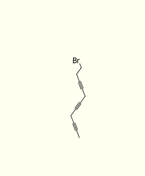 CC#CCC#CCC#CCCBr